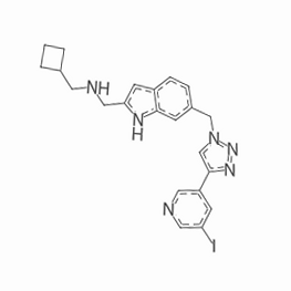 Ic1cncc(-c2cn(Cc3ccc4cc(CNCC5CCC5)[nH]c4c3)nn2)c1